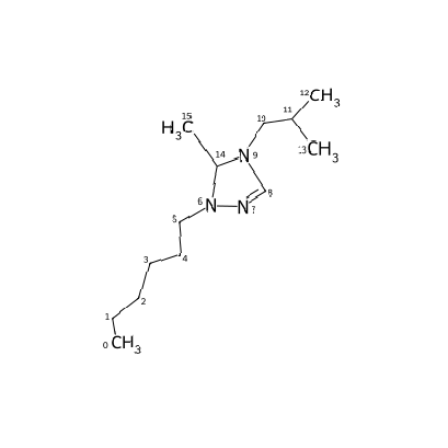 CCCCCCN1N=CN(CC(C)C)C1C